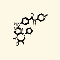 CC1CN(C2CCCC2)c2nc(Nc3ccc(C(=O)NC4CCN(C)CC4)cc3)ncc2N(C)C1=O